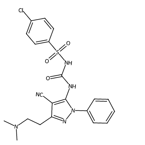 CN(C)CCc1nn(-c2ccccc2)c(NC(=O)NS(=O)(=O)c2ccc(Cl)cc2)c1C#N